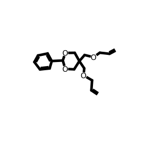 C=CCOCC1(COCC=C)COC(c2ccccc2)OC1